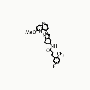 COc1ccc2nccc(-n3cc4c(n3)CCC(NC(=O)C=Cc3cc(F)ccc3C(F)(F)F)C4)c2n1